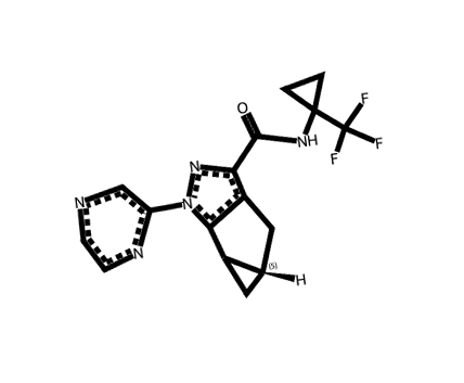 O=C(NC1(C(F)(F)F)CC1)c1nn(-c2cnccn2)c2c1C[C@@H]1CC21